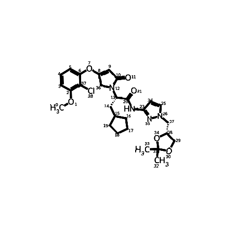 COc1cccc(OC2=CC(=O)N([C@@H](CC3CCCC3)C(=O)Nc3ccn(C[C@@H]4COC(C)(C)O4)n3)C2)c1Cl